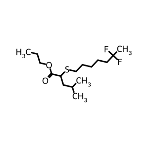 CCCOC(=O)C(CC(C)C)SCCCCCC(C)(F)F